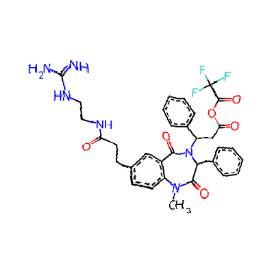 CN1C(=O)C(c2ccccc2)N(C(CC(=O)OC(=O)C(F)(F)F)c2ccccc2)C(=O)c2cc(CCC(=O)NCCNC(=N)N)ccc21